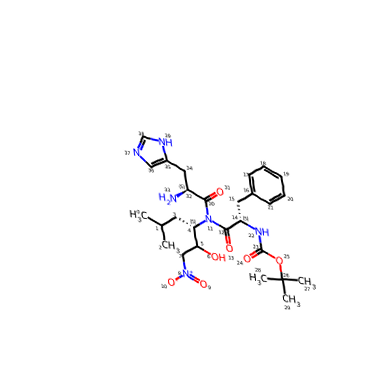 CC(C)C[C@@H](C(O)C[N+](=O)[O-])N(C(=O)[C@H](Cc1ccccc1)NC(=O)OC(C)(C)C)C(=O)[C@@H](N)Cc1cnc[nH]1